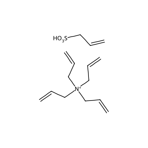 C=CCS(=O)(=O)O.C=CC[N+](CC=C)(CC=C)CC=C